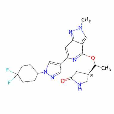 CC(Oc1nc(-c2cnn(C3CCC(F)(F)CC3)c2)cc2nn(C)cc12)[C@H]1CNC(=O)C1